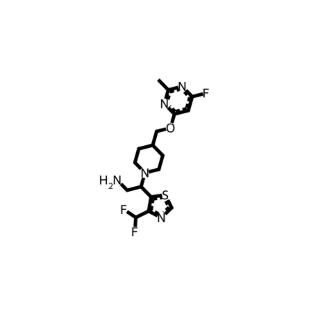 Cc1nc(F)cc(OCC2CCN(C(CN)c3scnc3C(F)F)CC2)n1